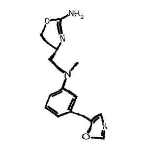 CN(C[C@H]1COC(N)=N1)c1cccc(-c2cnco2)c1